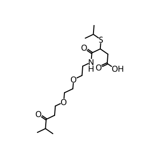 CC(C)SC(CC(=O)O)C(=O)NCCOCCOCCC(=O)C(C)C